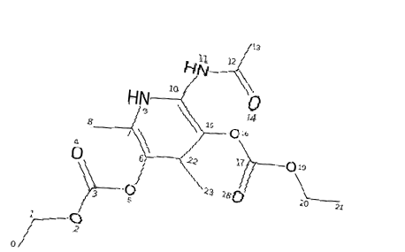 CCOC(=O)OC1=C(C)NC(NC(C)=O)=C(OC(=O)OCC)C1C